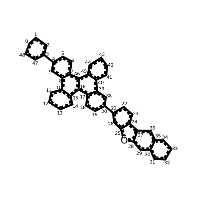 c1ccc(-c2ccc3c(c2)c2ccccc2c2c4ccc(-c5ccc6c(c5)oc5cc7ccccc7cc56)cc4c4ccccc4c32)cc1